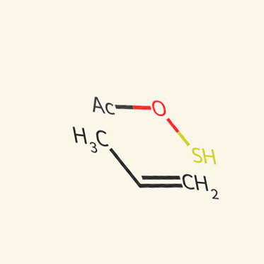 C=CC.CC(=O)OS